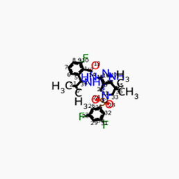 CC(C)C(N)c1cccc(F)c1C(=O)Nc1n[nH]c2c1CN(S(=O)(=O)c1cc(F)cc(F)c1)CC2(C)C